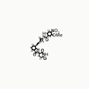 COc1cc(C(=O)NC23CC(C#Cc4cccc5c4CN(C4CCC(=O)NC4=O)C5=O)(C2)C3)ccc1[N+](=O)[O-]